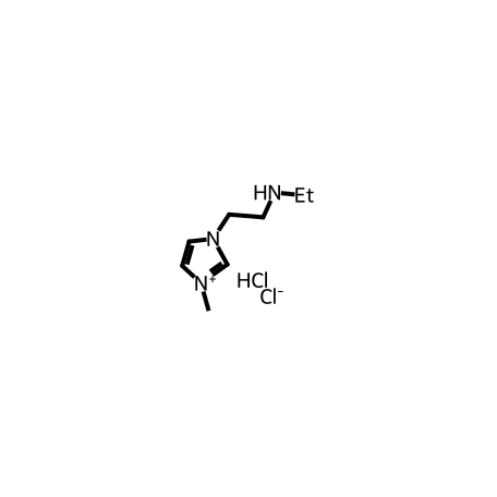 CCNCCn1cc[n+](C)c1.Cl.[Cl-]